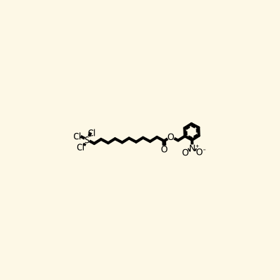 O=C(CCCCCCCCCCS(Cl)(Cl)Cl)OCc1ccccc1[N+](=O)[O-]